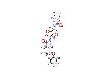 O=C(N[C@H]1CO[C@H]2[C@@H]1OC[C@@H]2NC(=O)C1CCCC1)c1cccc(Oc2ccccc2)c1